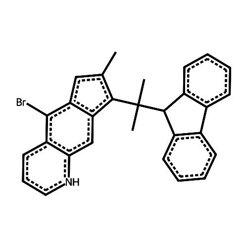 Cc1cc2c(Br)c3ccc[nH]c3cc2c1C(C)(C)C1c2ccccc2-c2ccccc21